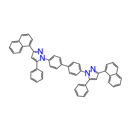 c1ccc(-c2cc(-c3cccc4ccccc34)nn2-c2ccc(-c3ccc(-n4nc(-c5cccc6ccccc56)cc4-c4ccccc4)cc3)cc2)cc1